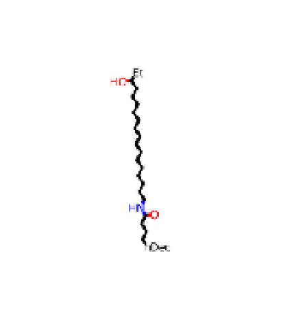 CCCCCCCCCCCCCC(=O)NCCCCCCCCCCCCCCCC(O)CC